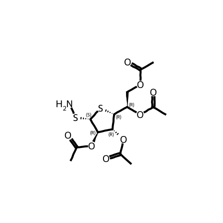 CC(=O)OC[C@@H](OC(C)=O)[C@H]1S[C@@H](SN)[C@H](OC(C)=O)[C@H]1OC(C)=O